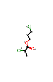 CC(Cl)C(=O)OCCCCl